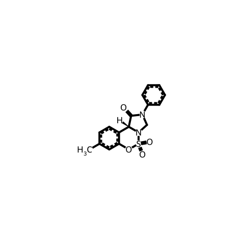 Cc1ccc2c(c1)OS(=O)(=O)N1CN(c3ccccc3)C(=O)[C@@H]21